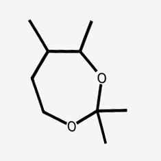 CC1CCOC(C)(C)OC1C